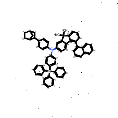 CC1(C)c2cc(N(c3ccc(C4CC5CCC4C5)cc3)c3ccc([Si](c4ccccc4)(c4ccccc4)c4ccccc4)cc3)ccc2-c2c(-c3cccc4ccccc34)cccc21